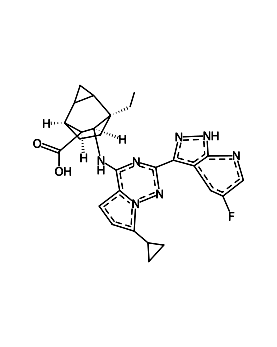 CC[C@@]12CC[C@@H](C3CC31)[C@H](C(=O)O)[C@@H]2Nc1nc(-c2n[nH]c3ncc(F)cc23)nn2c(C3CC3)ccc12